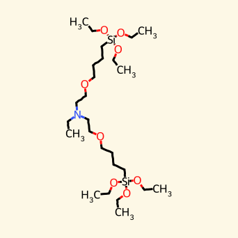 CCO[Si](CCCCOCCN(CC)CCOCCCC[Si](OCC)(OCC)OCC)(OCC)OCC